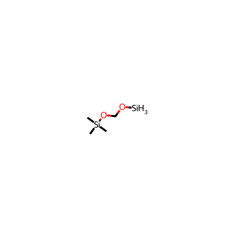 C[Si](C)(C)OCO[SiH3]